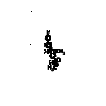 CONC(=O)c1ccc(NSc2cnc(-c3ccc(F)cc3)s2)c(OC)c1